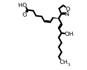 CCCCCCC(O)/C=C/[C@@H](C/C=C\CCCC(=O)O)C1=NOCC1